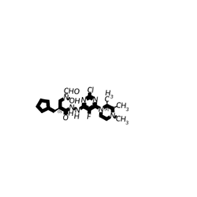 C[C@@H]1[C@H](C)N(C)CCN1c1nc(Cl)nc(NNC(=O)[C@@H](CC2CCCC2)CN(O)C=O)c1F